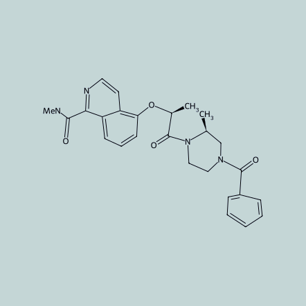 CNC(=O)c1nccc2c(O[C@@H](C)C(=O)N3CCN(C(=O)c4ccccc4)C[C@@H]3C)cccc12